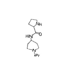 CC(C)N1CCC(NC(=O)C2CCCN2)CC1